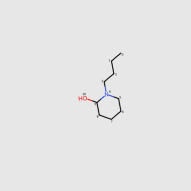 CCCCN1CCCCC1O